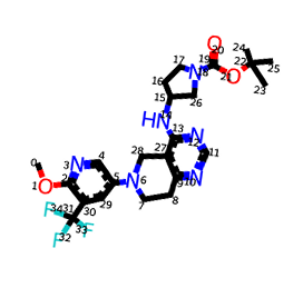 COc1ncc(N2CCc3ncnc(NC4CCN(C(=O)OC(C)(C)C)C4)c3C2)cc1C(F)(F)F